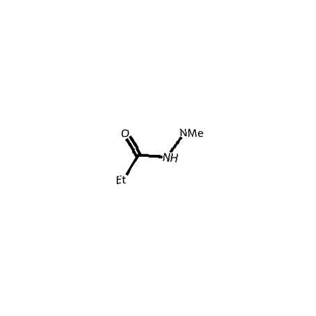 [CH2]CC(=O)NNC